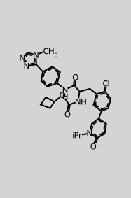 CC(C)n1cc(-c2ccc(Cl)c(CC(NC(=O)OC3CCC3)C(=O)Nc3ccc(-c4nncn4C)cc3)c2)ccc1=O